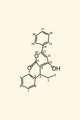 CCC(c1ccccc1)c1c(O)cc(-c2ccccc2)oc1=O